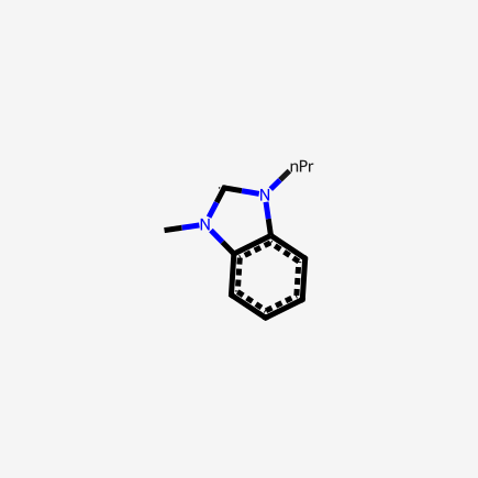 CCCN1[CH]N(C)c2ccccc21